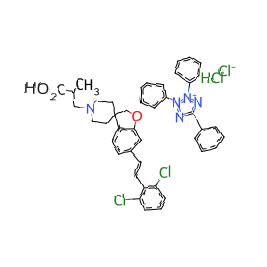 CC(CN1CCC2(CC1)COc1cc(/C=C/c3c(Cl)cccc3Cl)ccc12)C(=O)O.Cl.[Cl-].c1ccc(-c2nn(-c3ccccc3)[n+](-c3ccccc3)n2)cc1